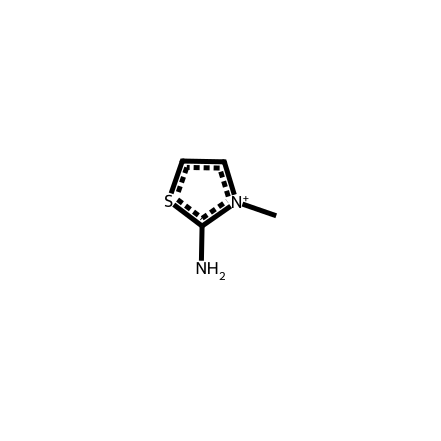 C[n+]1ccsc1N